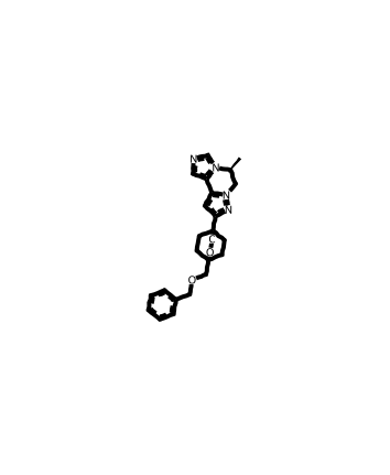 C[C@H]1Cn2nc(C34CCC(COCc5ccccc5)(CC3)OC4)cc2-c2cncn21